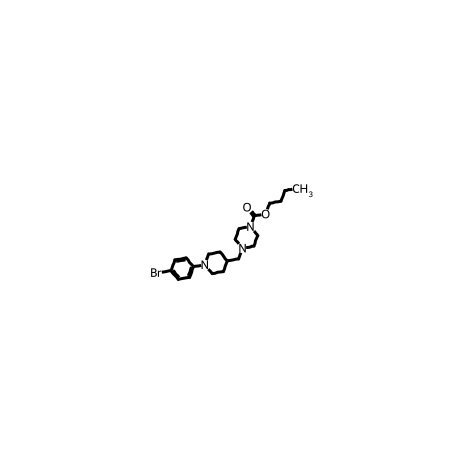 CCCCOC(=O)N1CCN(CC2CCN(c3ccc(Br)cc3)CC2)CC1